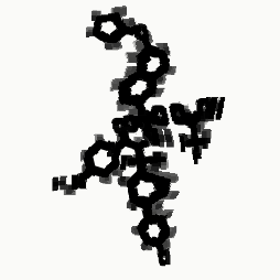 NC1CCN(C(=O)[C@@H](NS(=O)(=O)c2ccc3cc(OC4CCCC4)ccc3c2)C(F)(F)c2ccc(-c3ccc(Cl)cc3)cc2)CC1.O=C(O)C(F)(F)F